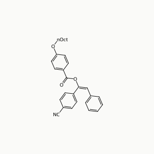 CCCCCCCCOc1ccc(C(=O)OC(=Cc2ccccc2)c2ccc(C#N)cc2)cc1